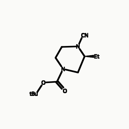 CC[C@H]1CN(C(=O)OC(C)(C)C)CCN1C#N